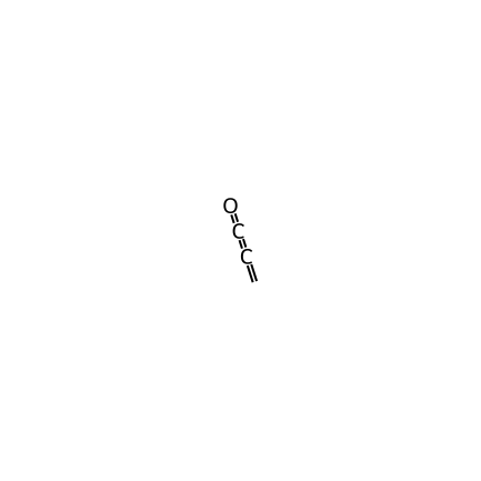 C=C=C=O